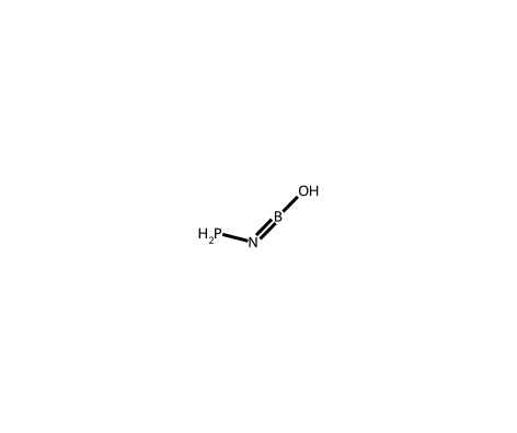 OB=NP